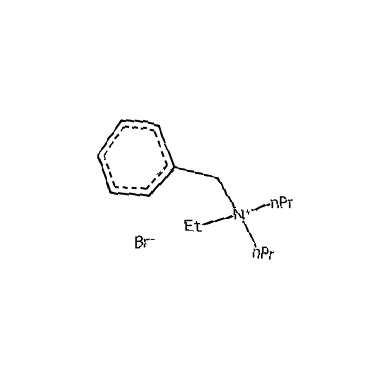 CCC[N+](CC)(CCC)Cc1ccccc1.[Br-]